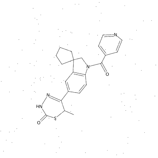 CC1SC(=O)NN=C1c1ccc2c(c1)C1(CCCC1)CN2C(=O)c1ccncc1